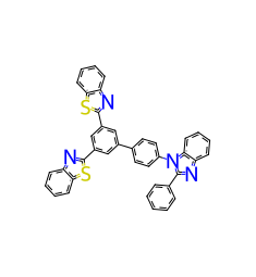 c1ccc(-c2nc3ccccc3n2-c2ccc(-c3cc(-c4nc5ccccc5s4)cc(-c4nc5ccccc5s4)c3)cc2)cc1